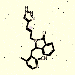 Cc1ccnc(C#N)c1CC1c2ccccc2C(=O)N1C/C=C/c1c[nH]nn1